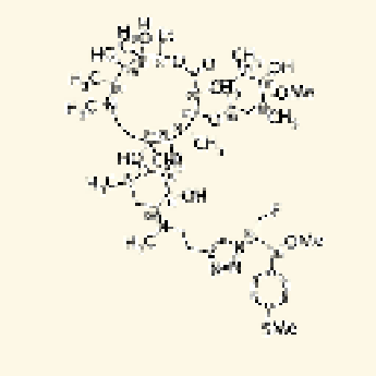 CC[C@H]1OC(=O)[C@H](C)[C@@H](O[C@H]2C[C@@](C)(OC)[C@@H](O)[C@H](C)O2)[C@H](C)[C@@H](O[C@@H]2O[C@H](C)C[C@H](N(C)CCc3cn([C@H](CF)[C@H](OC)c4ccc(SC)cc4)nn3)[C@H]2O)[C@](C)(O)CCN(C)[C@H](C)[C@@H](O)[C@]1(C)O